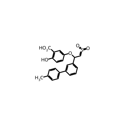 Cc1ccc(-c2cccc(C(C=S(=O)=O)Oc3ccc(O)c(C(=O)O)c3)c2)cc1